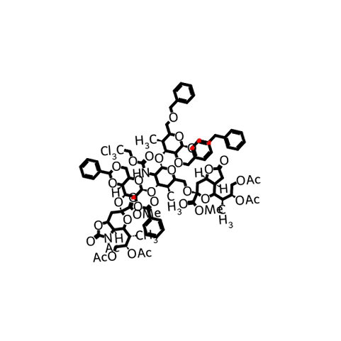 COC(=O)[C@]1(OCC2O[C@@H](O[C@@H]3C(OCc4ccccc4)[C@H](OCCCc4ccccc4)OC(COCc4ccccc4)[C@@H]3C)C(NC(=O)OCC(Cl)(Cl)Cl)[C@@H](O[C@@H]3OC4COC(c5ccccc5)O[C@@H]4[C@H](O[C@@]4(C(=O)OC)CC5OC(=O)N(C(C)=O)[C@@H]5C([C@H](C)[C@@H](COC(C)=O)OC(C)=O)O4)C3OC(=O)c3ccccc3)[C@@H]2C)C[C@H]2OC(=O)C[C@H]2C([C@H](C)[C@@H](COC(C)=O)OC(C)=O)O1